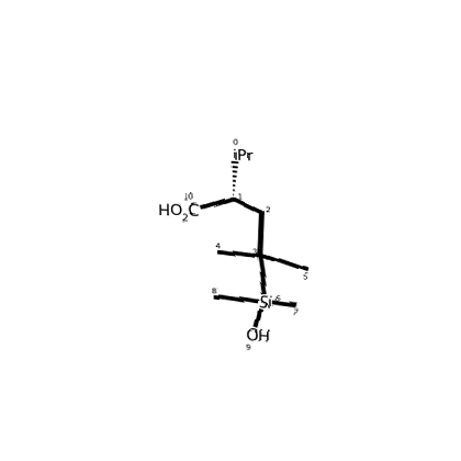 CC(C)[C@H](CC(C)(C)[Si](C)(C)O)C(=O)O